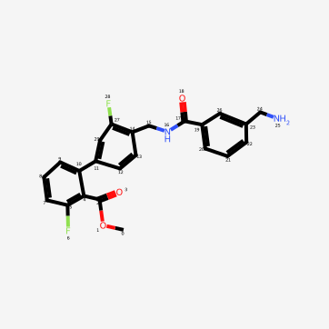 COC(=O)c1c(F)cccc1-c1ccc(CNC(=O)c2cccc(CN)c2)c(F)c1